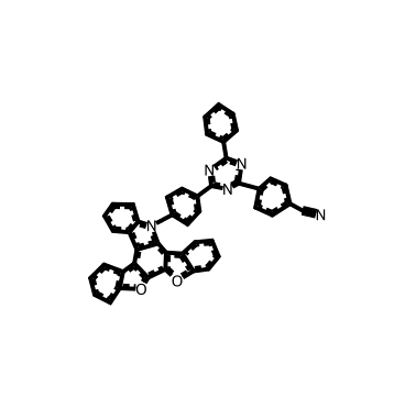 N#Cc1ccc(-c2nc(-c3ccccc3)nc(-c3ccc(-n4c5ccccc5c5c6c7ccccc7oc6c6oc7ccccc7c6c54)cc3)n2)cc1